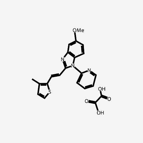 COc1ccc2c(c1)nc(C=Cc1sccc1C)n2-c1ccccn1.O=C(O)C(=O)O